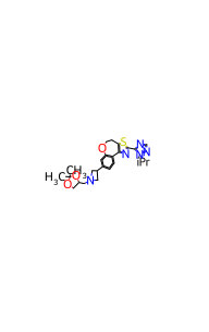 CC(C)n1ncnc1-c1nc2c(s1)CCOc1cc(C3CN(CC4COC(C)(C)O4)C3)ccc1-2